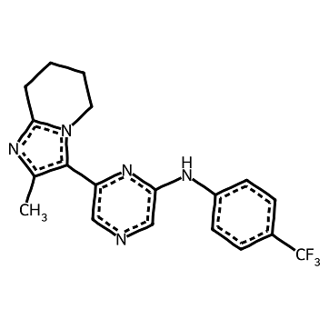 Cc1nc2n(c1-c1cncc(Nc3ccc(C(F)(F)F)cc3)n1)CCCC2